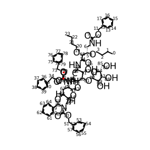 CCCCO[C@@H](CNC(=O)OCc1ccccc1)[C@H](OCCCC)C(=O)N[C@@H]1C[C@H](NC(=O)OCc2ccccc2)[C@@H](O[C@H]2O[C@@H]3CN(C(=O)OCc4ccccc4)C(c4ccccc4)O[C@H]3C[C@H]2NC(=O)OCc2ccccc2)[C@H](O[C@@H]2O[C@H](CO)[C@@H](O)[C@H]2O)[C@H]1O